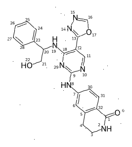 O=C1NCCc2cc(Nc3ncc(-c4nnco4)c(NC(CO)c4ccccc4)n3)ccc21